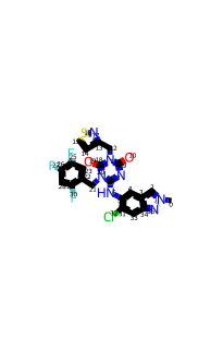 Cn1cc2cc(Nc3nc(=O)n(Cc4ccsn4)c(=O)n3Cc3cc(F)c(F)cc3F)c(Cl)cc2n1